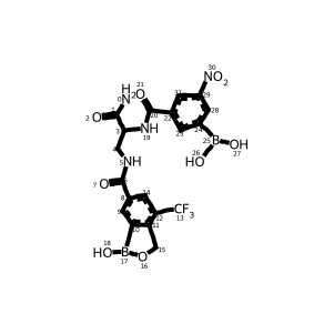 NC(=O)C(CNC(=O)c1cc2c(c(C(F)(F)F)c1)COB2O)NC(=O)c1cc(B(O)O)cc([N+](=O)[O-])c1